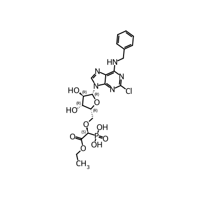 CCOC(=O)[C@@H](OC[C@H]1O[C@@H](n2cnc3c(NCc4ccccc4)nc(Cl)nc32)[C@H](O)[C@H]1O)P(=O)(O)O